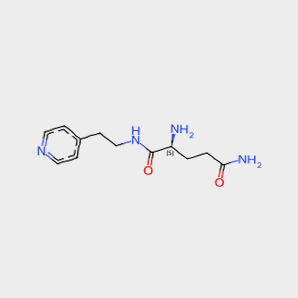 NC(=O)CC[C@H](N)C(=O)NCCc1ccncc1